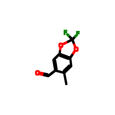 Cc1cc2c(cc1C=O)OC(F)(F)O2